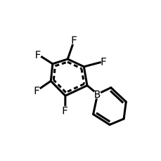 Fc1c(F)c(F)c(B2C=CCC=C2)c(F)c1F